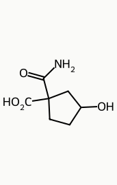 NC(=O)C1(C(=O)O)CCC(O)C1